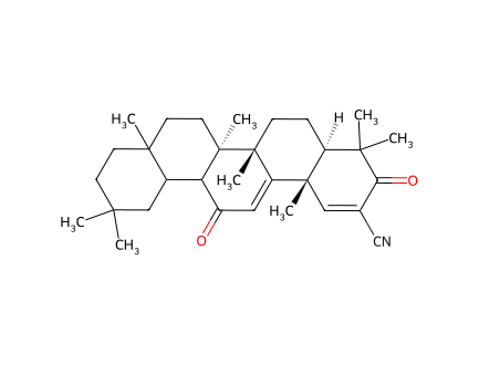 CC1(C)CCC2(C)CC[C@]3(C)C(C(=O)C=C4[C@@]5(C)C=C(C#N)C(=O)C(C)(C)[C@@H]5CC[C@]43C)C2C1